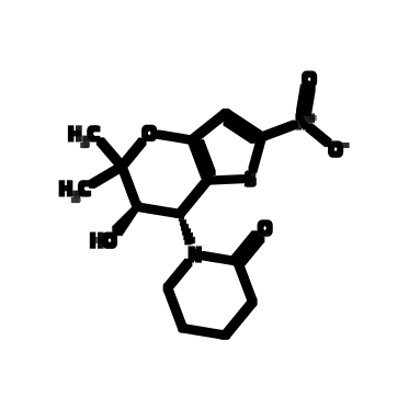 CC1(C)Oc2cc([N+](=O)[O-])sc2[C@H](N2CCCCC2=O)[C@H]1O